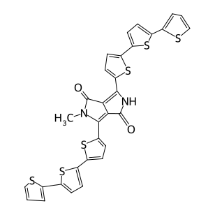 CN1C(=O)C2=C(c3ccc(-c4ccc(-c5cccs5)s4)s3)NC(=O)C2=C1c1ccc(-c2ccc(-c3cccs3)s2)s1